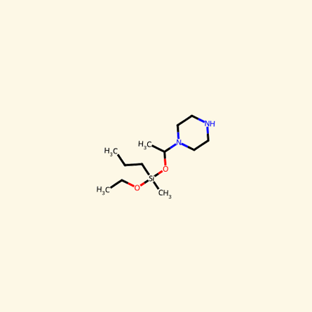 CCC[Si](C)(OCC)OC(C)N1CCNCC1